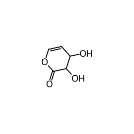 O=C1OC=CC(O)C1O